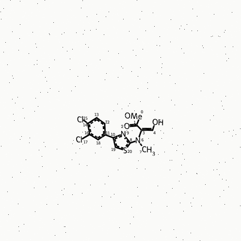 COC(=O)C(=CO)N(C)c1nc(-c2ccc(Cl)c(Cl)c2)cs1